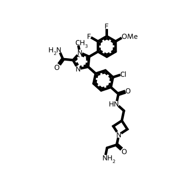 COc1ccc(-c2c(-c3ccc(C(=O)NCC4CN(C(=O)CN)C4)c(Cl)c3)nc(C(N)=O)n2C)c(F)c1F